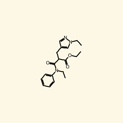 CCOC(=O)C(Cc1cnn(CC)c1)C(=O)N(CC)c1ccccc1